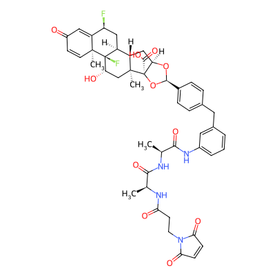 C[C@H](NC(=O)CCN1C(=O)C=CC1=O)C(=O)N[C@@H](C)C(=O)Nc1cccc(Cc2ccc([C@@H]3O[C@@H]4C[C@H]5[C@@H]6C[C@H](F)C7=CC(=O)C=C[C@]7(C)[C@@]6(F)[C@@H](O)C[C@]5(C)[C@]4(C(=O)O)O3)cc2)c1